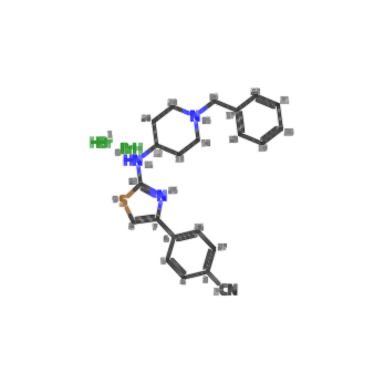 Br.Br.N#Cc1ccc(-c2csc(NC3CCN(Cc4ccccc4)CC3)n2)cc1